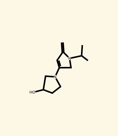 C=C1C=C(N2CCC(O)C2)CN1C(C)C